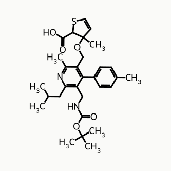 Cc1ccc(-c2c(COC3(C)C=CSC3C(=O)O)c(C)nc(CC(C)C)c2CNC(=O)OC(C)(C)C)cc1